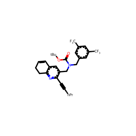 CCCC#Cc1nc2c(cc1CN(Cc1cc(C(F)(F)F)cc(C(F)(F)F)c1)C(=O)OC(C)(C)C)C=CCC2